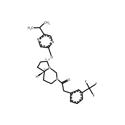 CC(C)c1cnc(O[C@H]2CC[C@H]3CCN(C(=O)Cc4cccc(C(F)(F)F)c4)CN32)cn1